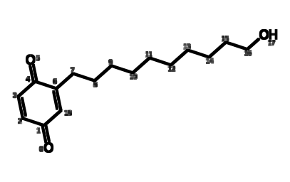 O=C1C=CC(=O)C(CCCCCCCCCCO)=C1